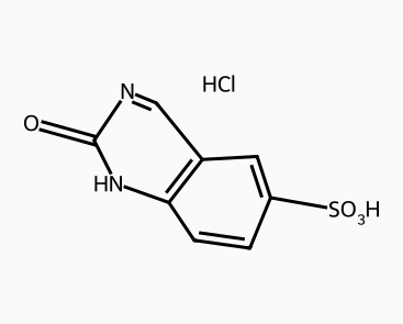 Cl.O=c1ncc2cc(S(=O)(=O)O)ccc2[nH]1